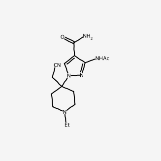 CCN1CCC(CC#N)(n2cc(C(N)=O)c(NC(C)=O)n2)CC1